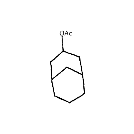 CC(=O)OC1CC2CCCC(C2)C1